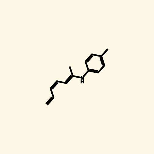 C=C/C=C\C=C(/C)Nc1ccc(C)cc1